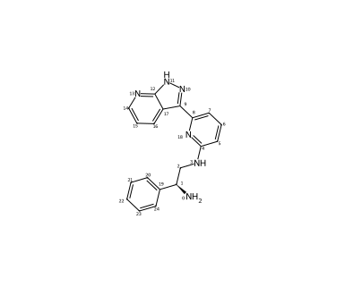 N[C@H](CNc1cccc(-c2n[nH]c3ncccc23)n1)c1ccccc1